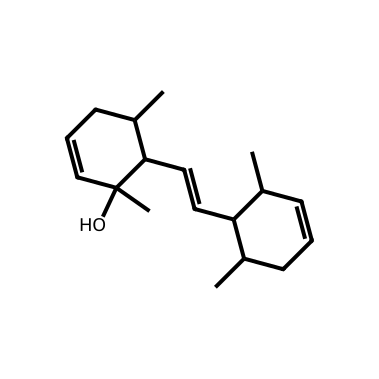 CC1C=CCC(C)C1C=CC1C(C)CC=CC1(C)O